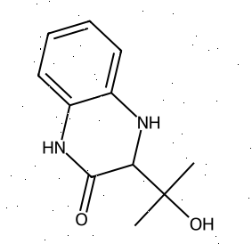 CC(C)(O)C1Nc2ccccc2NC1=O